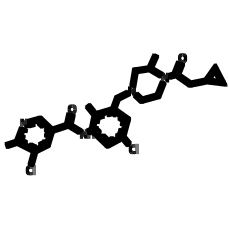 Cc1ncc(C(=O)Nc2cc(Cl)cc(CN3CCN(C(=O)CC4CC4)C(C)C3)c2C)cc1Cl